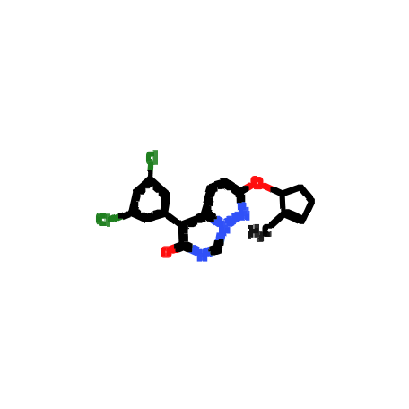 CC1=CCCC1Oc1ccc2c(-c3cc(Cl)cc(Cl)c3)c(=O)ncn2n1